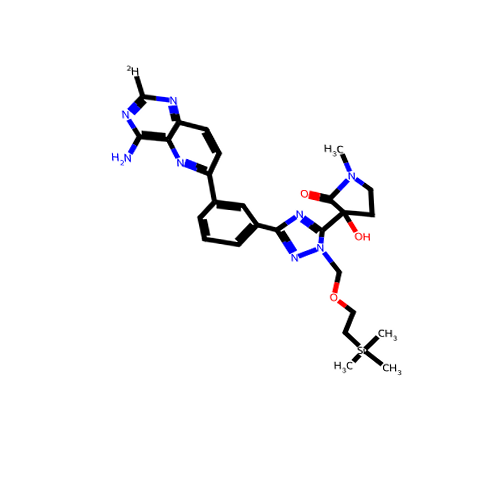 [2H]c1nc(N)c2nc(-c3cccc(-c4nc(C5(O)CCN(C)C5=O)n(COCC[Si](C)(C)C)n4)c3)ccc2n1